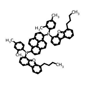 CCCCc1cccc2c1oc1c(N(c3ccc(C)cc3C)c3ccc4ccc5c(N(c6ccc(C)cc6C)c6cccc7c6oc6c(CCCC)cccc67)ccc6ccc3c4c65)cccc12